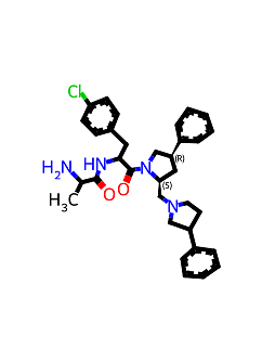 CC(N)C(=O)NC(Cc1ccc(Cl)cc1)C(=O)N1C[C@@H](c2ccccc2)C[C@H]1CN1CCC(c2ccccc2)C1